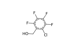 OCc1c(F)c(F)c(F)c(F)c1Cl